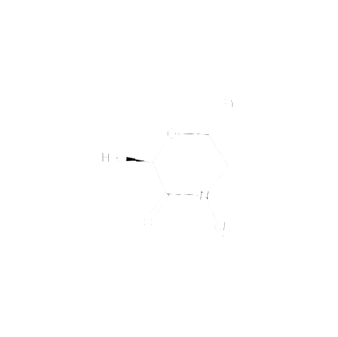 CC[C@@H]1CN(C)C(=O)[C@@H](C)O1